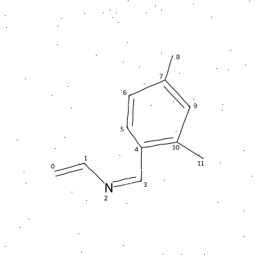 C=C/N=C\c1ccc(C)cc1C